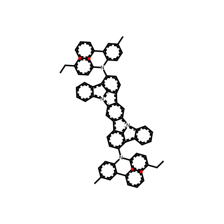 CCc1ccc(N(c2ccc(C)cc2-c2ccccc2)c2ccc3c4cc5c(cc4n4c6ccccc6c2c34)c2ccc(N(c3ccc(CC)cc3)c3ccc(C)cc3-c3ccccc3)c3c4ccccc4n5c23)cc1